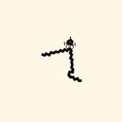 CCCCC/C=C\C/C=C\CCCCCCCCC1(CCCCCCCCCCCC)O[C@H]2C[C@H](C)C[C@H]2O1